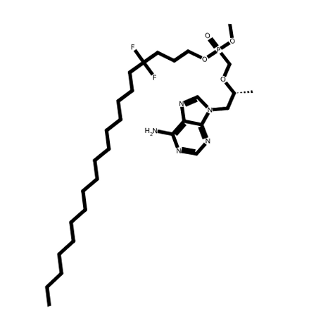 CCCCCCCCCCCCCCCCC(F)(F)CCCOP(=O)(CO[C@H](C)Cn1cnc2c(N)ncnc21)OC